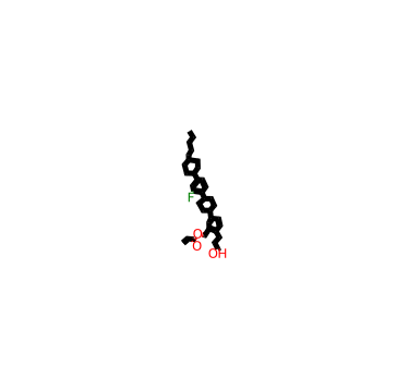 C=CC(=O)OCc1cc(C2CCC(c3ccc(C4CCC(CCCCC)CC4)cc3F)CC2)ccc1CCCO